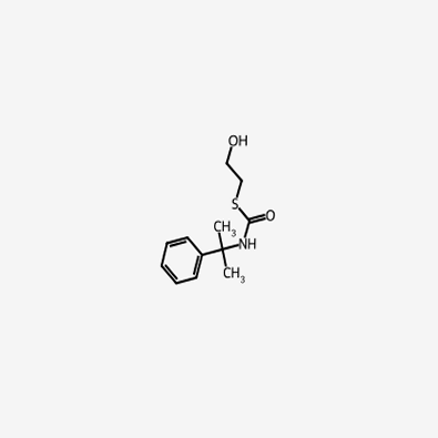 CC(C)(NC(=O)SCCO)c1ccccc1